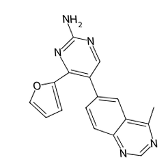 Cc1ncnc2ccc(-c3cnc(N)nc3-c3ccco3)cc12